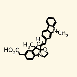 Cn1c2ccccc2c2ccc(/C=C/C34OCCN3c3ccc(CC(=O)O)cc3C4(C)C)cc21